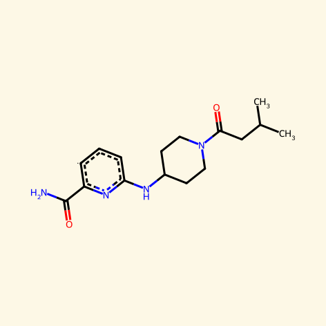 CC(C)CC(=O)N1CCC(Nc2cc[c]c(C(N)=O)n2)CC1